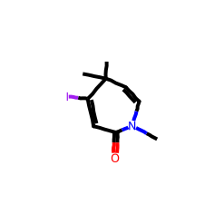 CN1C=CC(C)(C)C(I)=CC1=O